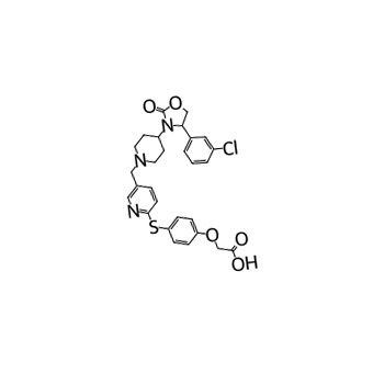 O=C(O)COc1ccc(Sc2ccc(CN3CCC(N4C(=O)OCC4c4cccc(Cl)c4)CC3)cn2)cc1